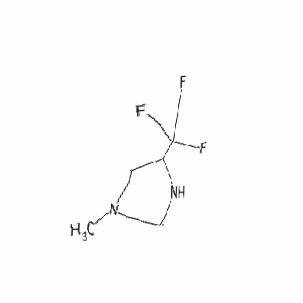 CN1[CH]NC(C(F)(F)F)C1